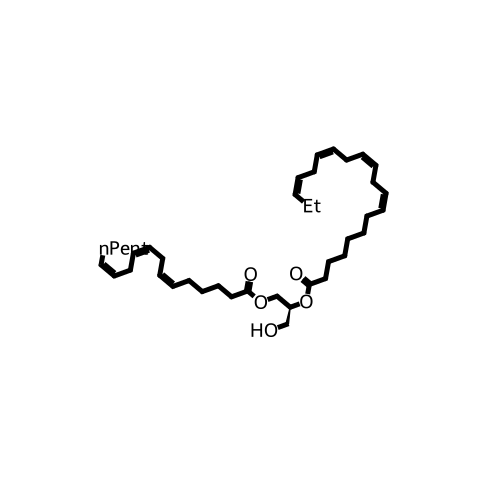 CC/C=C\C/C=C\C/C=C\C/C=C\CCCCCCC(=O)O[C@@H](CO)COC(=O)CCCC/C=C\C/C=C\C/C=C\CCCCC